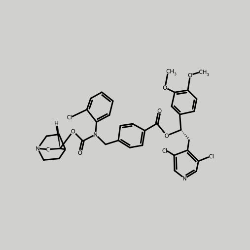 COc1ccc([C@H](Cc2c(Cl)cncc2Cl)OC(=O)c2ccc(CN(C(=O)O[C@H]3CN4CCC3CC4)c3ccccc3Cl)cc2)cc1OC